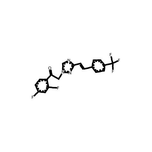 O=C(Cn1cnc(/C=C/c2ccc(C(F)(F)F)cc2)n1)c1ccc(F)cc1F